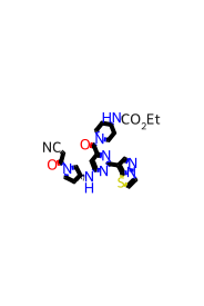 CCOC(=O)NC1CCN(C(=O)c2cc(N[C@@H]3CCN(C(=O)CC#N)C3)nc(-c3cnn4ccsc34)n2)CC1